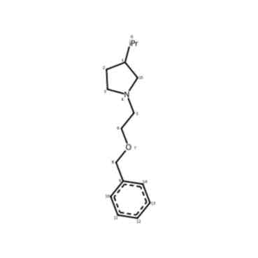 CC(C)C1CCN(CCOCc2ccccc2)C1